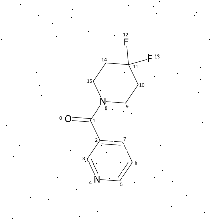 O=C(c1[c]nccc1)N1CCC(F)(F)CC1